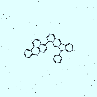 c1ccc(-n2c3ccccc3c3cc4cccc(-c5ccc6c7c(cccc57)-c5ccccc5S6)c4cc32)cc1